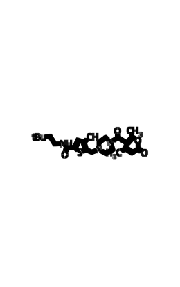 Cc1cc(C(=O)NCCC(C)(C)C)sc1CN1CCN(C(=O)c2c(C)cc(=O)oc2C)CC1